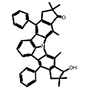 Cc1c2c(c(-c3ccccc3)c3c4cccc5c6c(-c7ccccc7)c7c(c(C)c6n(c13)c45)C(O)C(C)(C)C7)CC(C)(C)C2=O